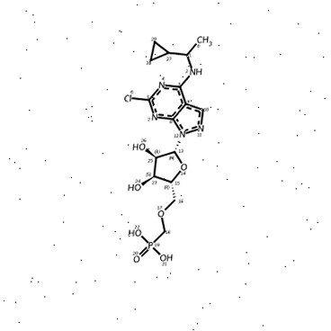 CC(Nc1nc(Cl)nc2c1cnn2[C@@H]1O[C@H](COCP(=O)(O)O)[C@@H](O)[C@H]1O)C1CC1